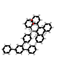 c1ccc(-c2ccc(-c3ccccc3)c(-c3ccc(N(c4ccccc4)c4c(-c5ccccc5)c5ccccc5c5ccccc45)cc3)c2)cc1